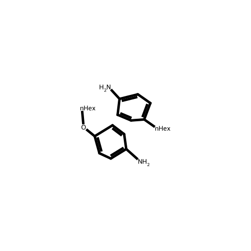 CCCCCCOc1ccc(N)cc1.CCCCCCc1ccc(N)cc1